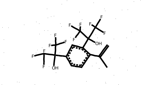 C=C(C)c1ccc(C(O)(C(F)(F)F)C(F)(F)F)cc1C(O)(C(F)(F)F)C(F)(F)F